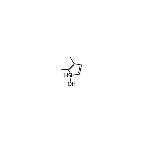 CC1=C(C)[SiH](O)C=C1